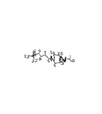 CCN1CCN(CCCCC(C)(C)C)CC1